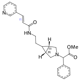 COC(=O)C(c1ccccc1)N1C[C@@H]2C(CCNC(=O)/C=C/c3cccnc3)[C@@H]2C1